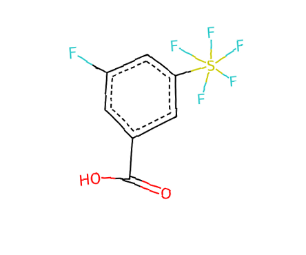 O=C(O)c1cc(F)cc(S(F)(F)(F)(F)F)c1